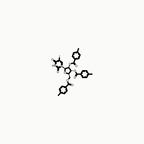 Cc1ccc(C(=O)OC[C@H]2O[C@@H](n3cc(I)c(=O)[nH]c3=O)[C@@H](OC(=O)c3ccc(C)cc3)[C@@H]2OC(=O)c2ccc(C)cc2)cc1